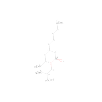 CCCCCCCCCCCCCCC(CCCCCCCCCCCC)CC(=O)OCC(CCCCCCCC)CCCCCCCCCC